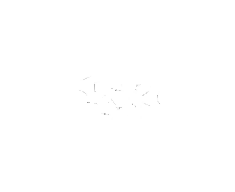 CN1c2ccccc2C(C)(C)C12C=NC1=C(C=CC3Oc4ccccc4C13)O2